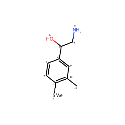 CSc1ccc(C(O)CN)cc1C